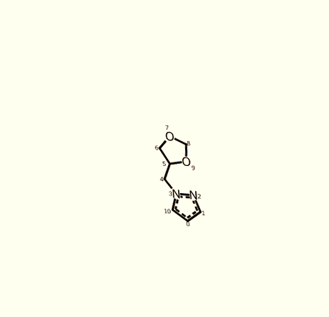 c1cnn(CC2COCO2)c1